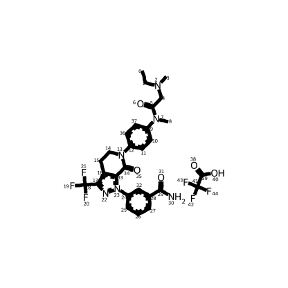 CCN(C)CC(=O)N(C)c1ccc(N2CCc3c(C(F)(F)F)nn(-c4cccc(C(N)=O)c4)c3C2=O)cc1.O=C(O)C(F)(F)F